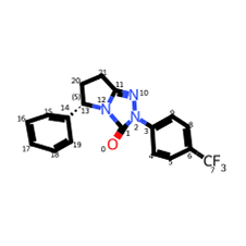 O=c1n(-c2ccc(C(F)(F)F)cc2)nc2n1[C@H](c1ccccc1)CC2